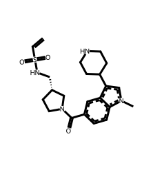 C=CS(=O)(=O)NC[C@H]1CCN(C(=O)c2ccc3c(c2)c(C2CCNCC2)cn3C)C1